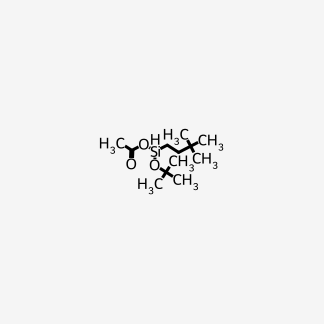 CC(=O)O[SiH](CCC(C)(C)C)OC(C)(C)C